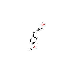 COc1ccc(CC#CCO)cc1